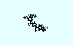 COC1=C(O)C=C(C(=O)c2csc(Nc3ccc4[nH]ccc4c3)n2)CC1O